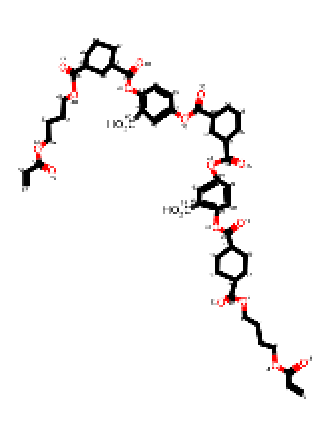 C=CC(=O)OCCCCOC(=O)C1CCC(C(=O)Oc2ccc(OC(=O)C3CCCC(C(=O)Oc4ccc(OC(=O)C5CCCC(C(=O)OCCCCOC(=O)C=C)C5)c(C(=O)O)c4)C3)cc2C(=O)O)CC1